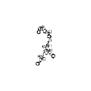 O=C(NCCCC[C@H](NC(=O)OCc1ccccc1)C(=O)NCCCOc1ccc(C(=O)N2CCC(N3C(=O)CCc4ccccc43)CC2)cc1)OCc1ccccc1